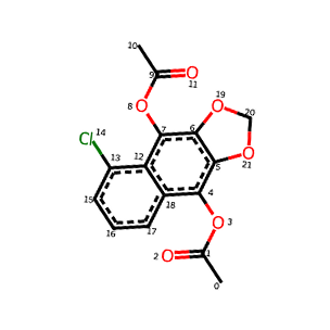 CC(=O)Oc1c2c(c(OC(C)=O)c3c(Cl)cccc13)OCO2